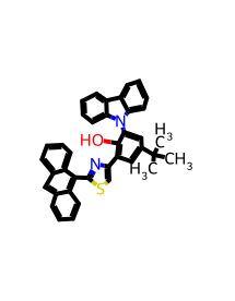 CC(C)(C)c1cc(-c2csc(-c3c4ccccc4cc4ccccc34)n2)c(O)c(-n2c3ccccc3c3ccccc32)c1